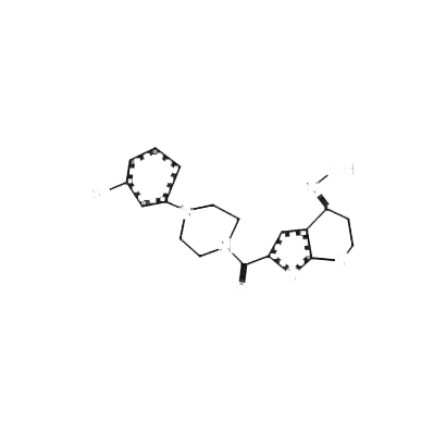 O=C(c1cc2c(s1)SCCC2=NO)N1CCN(c2cccc(Br)c2)CC1